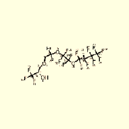 O[C@@H](COCC(F)(F)OC(F)(F)C(F)(F)OC(F)(F)C(F)(F)C(F)(F)C(F)(F)F)C(F)(F)F